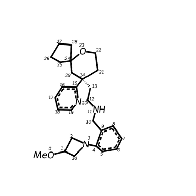 COC1CN(c2ccccc2CNCC[C@@]2(c3ccccn3)CCOC3(CCCC3)C2)C1